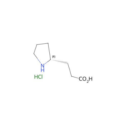 Cl.O=C(O)CC[C@H]1CCCN1